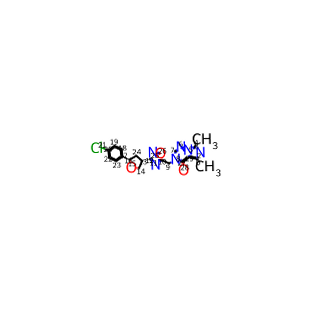 Cc1nc(C)n2ncn(Cc3nc([C@@H]4CO[C@@H](c5ccc(Cl)cc5)C4)no3)c(=O)c12